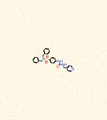 O=C(NCc1ccncc1)Nc1ccc(S(=O)(=O)N(Cc2ccccc2)Cc2ccccc2)cc1